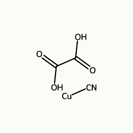 N#[C][Cu].O=C(O)C(=O)O